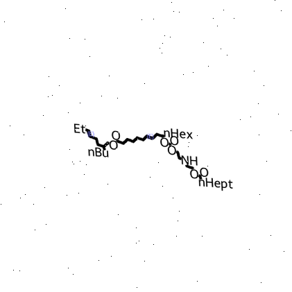 CC/C=C/CCC(CCCC)COC(=O)CCCCC/C=C/CC(CCCCCC)OC(=O)OCCNCCOC(=O)CCCCCCC